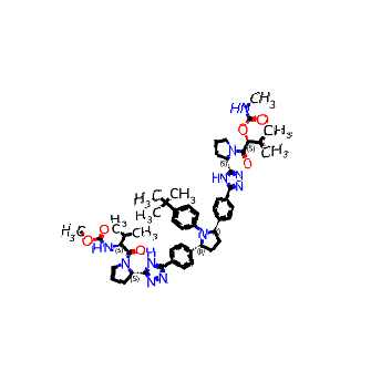 CNC(=O)O[C@H](C(=O)N1CCC[C@H]1c1nnc(-c2ccc([C@H]3CC[C@H](c4ccc(-c5nnc([C@@H]6CCCN6C(=O)[C@@H](NC(=O)OC)C(C)C)[nH]5)cc4)N3c3ccc(C(C)(C)C)cc3)cc2)[nH]1)C(C)C